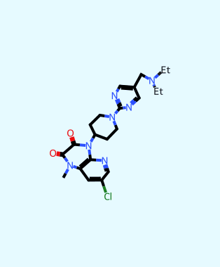 CCN(CC)Cc1cnc(N2CCC(n3c(=O)c(=O)n(C)c4cc(Cl)cnc43)CC2)nc1